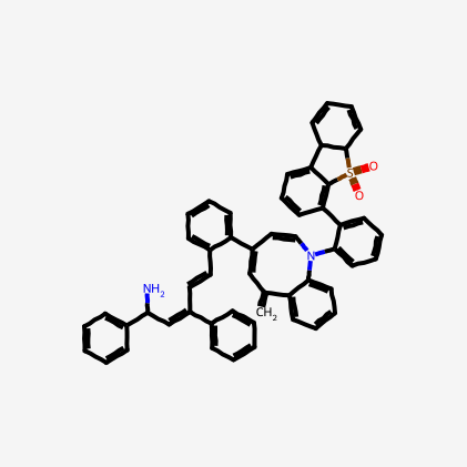 C=C1/C=C(c2ccccc2/C=C/C(=C\C(N)c2ccccc2)c2ccccc2)\C=C/N(c2ccccc2-c2cccc3c2S(=O)(=O)C2C=CC=CC32)c2ccccc21